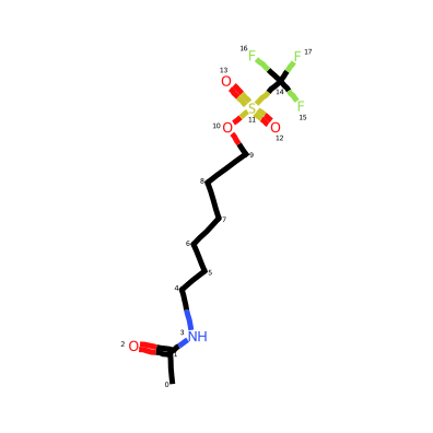 CC(=O)NCCCCCCOS(=O)(=O)C(F)(F)F